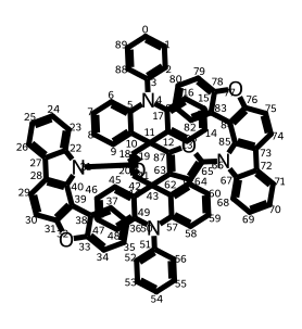 c1ccc(N2c3ccccc3C3(c4ccccc42)c2cc(-n4c5ccccc5c5ccc6oc7ccccc7c6c54)oc2C2(c4ccccc4N(c4ccccc4)c4ccccc42)c2cc(-n4c5ccccc5c5ccc6oc7ccccc7c6c54)oc23)cc1